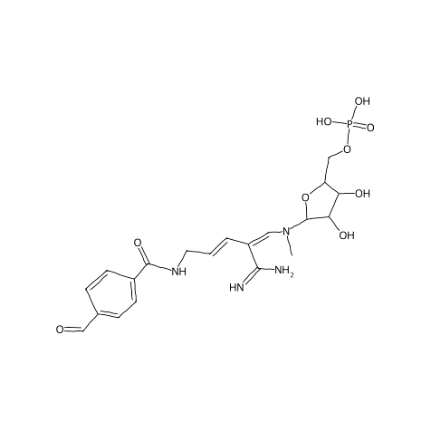 CN(/C=C(/C=C/CNC(=O)c1ccc(C=O)cc1)C(=N)N)C1OC(COP(=O)(O)O)C(O)C1O